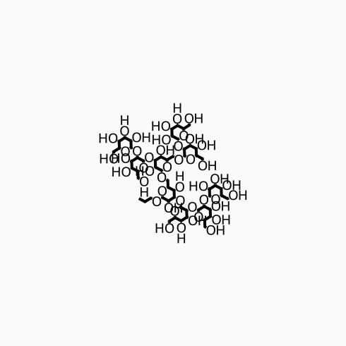 CCCO[C@@H]1OC(CO[C@H]2OC(CO[C@H]3OC(CO)[C@@H](O)[C@H](O)C3O[C@H]3OC(CO)[C@@H](O)[C@H](O)C3O)[C@@H](O)[C@H](O[C@H]3OC(CO)[C@@H](O)C(O)C3O[C@H]3OC(CO)[C@@H](O)C(O)C3O)C2O)[C@@H](O)[C@H](O[C@H]2OC(CO)[C@@H](O)C(O)C2O[C@H]2OC(CO)[C@@H](O)C(O)C2O[C@H]2OC(CO)[C@@H](O)C(O)C2O)C1O